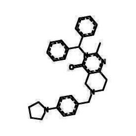 Cc1nc2c(c(=O)n1C(c1ccccc1)c1ccccc1)CN(Cc1ccc(N3CCCC3)cc1)CC2